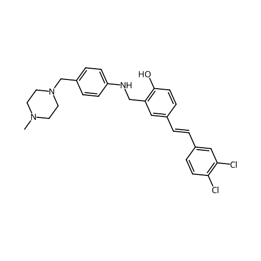 CN1CCN(Cc2ccc(NCc3cc(/C=C/c4ccc(Cl)c(Cl)c4)ccc3O)cc2)CC1